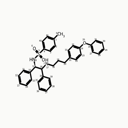 Cc1ccc(S(=O)(=O)N[C@H](c2ccccc2)C(NCCCc2ccc(Oc3ccccc3)cc2)c2ccccc2)cc1